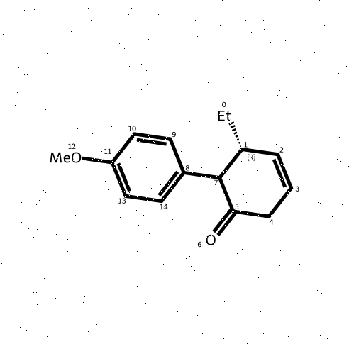 CC[C@@H]1C=CCC(=O)C1c1ccc(OC)cc1